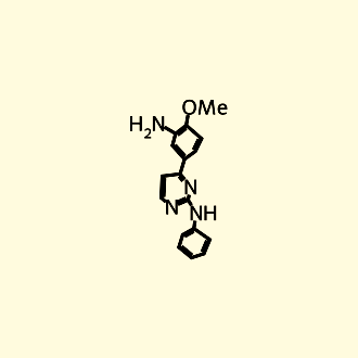 COc1ccc(-c2ccnc(Nc3ccccc3)n2)cc1N